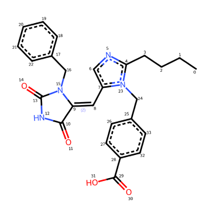 CCCCc1ncc(/C=C2/C(=O)NC(=O)N2Cc2ccccc2)n1Cc1ccc(C(=O)O)cc1